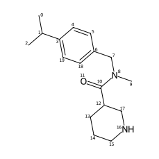 CC(C)c1ccc(CN(C)C(=O)C2CCCNC2)cc1